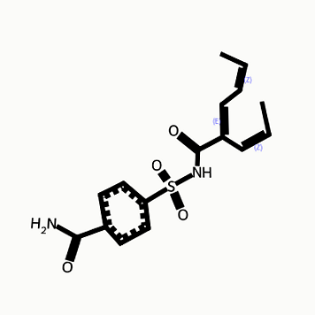 C\C=C/C=C(\C=C/C)C(=O)NS(=O)(=O)c1ccc(C(N)=O)cc1